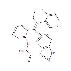 C=CC(=O)Oc1ccccc1/C(=C(\CC)c1ccccc1F)c1ccc2[nH]ncc2c1